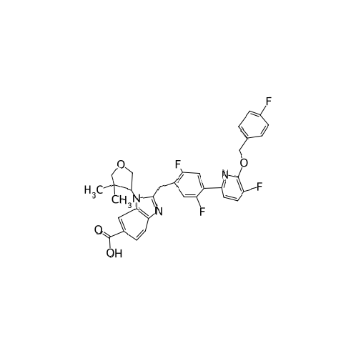 CC1(C)COCC1n1c(Cc2cc(F)c(-c3ccc(F)c(OCc4ccc(F)cc4)n3)cc2F)nc2ccc(C(=O)O)cc21